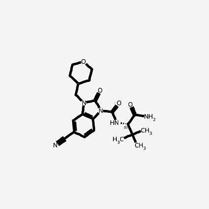 CC(C)(C)[C@H](NC(=O)n1c(=O)n(CC2CCOCC2)c2cc(C#N)ccc21)C(N)=O